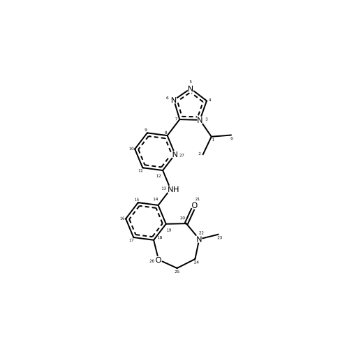 CC(C)n1cnnc1-c1cccc(Nc2cccc3c2C(=O)N(C)CCO3)n1